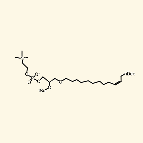 CCCCCCCCCCC/C=C\CCCCCCCCCOC[C@H](COP(=O)([O-])OCC[N+](C)(C)C)OC(C)(C)C